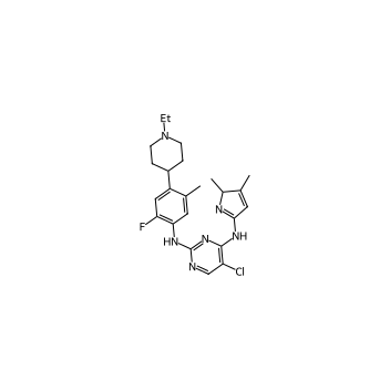 CCN1CCC(c2cc(F)c(Nc3ncc(Cl)c(NC4=NC(C)C(C)=C4)n3)cc2C)CC1